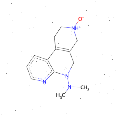 CN(C)N1CC2=C(CC[NH+]([O-])C2)c2cccnc21